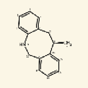 C[C@@H]1Cc2ccccc2NCc2ccccc21